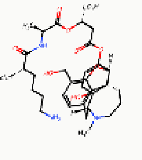 CC(=O)N[C@@H](CCCCN)C(=O)N[C@@H](C)C(=O)O[C@@H](CC(=O)OC1=CC[C@@]2(O)[C@H]3Cc4ccc(CO)c5c4[C@@]2(CCCN3C)[C@H]1O5)C(=O)O